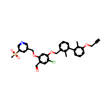 C#CCOc1cccc(-c2cccc(COc3cc(OCc4cncc(S(C)(=O)=O)c4)c(C=O)cc3Cl)c2C)c1C